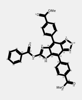 COC(=O)c1ccc(-c2c3nsnc3c(-c3ccc(C(=O)OC)cc3)c3[nH]c(OC(=O)c4ccccc4)nc23)cc1